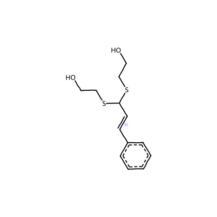 OCCSC(/C=C/c1ccccc1)SCCO